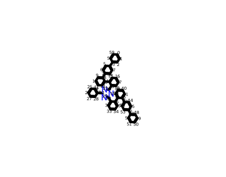 c1ccc(-c2ccc(-c3ccccc3-c3ccccc3-c3nc(-c4ccccc4)nc(-c4ccccc4-c4ccccc4-c4ccc(-c5ccccc5)cc4)n3)cc2)cc1